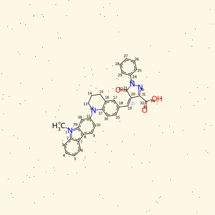 Cn1c2ccccc2c2ccc(N3CCCc4cc(/C=C5\C(=O)N(c6ccccc6)N=C5C(=O)O)ccc43)cc21